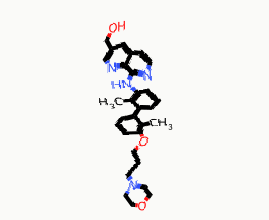 Cc1c(Nc2nccc3cc(CO)cnc23)cccc1-c1cccc(OCCCN2CCOCC2)c1C